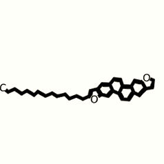 CCCCCCCCCCCCCCc1cc2cc3ccc4c5cc6occc6cc5ccc4c3cc2o1